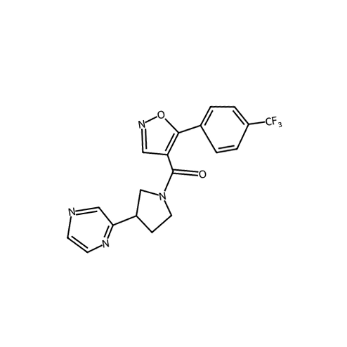 O=C(c1cnoc1-c1ccc(C(F)(F)F)cc1)N1CCC(c2cnccn2)C1